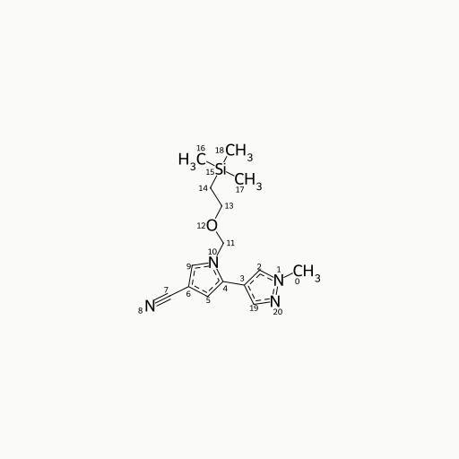 Cn1cc(-c2cc(C#N)cn2COCC[Si](C)(C)C)cn1